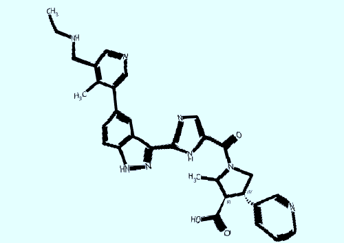 CCNCc1cncc(-c2ccc3[nH]nc(-c4ncc(C(=O)N5C[C@H](c6cccnc6)[C@@H](C(=O)O)C5C)[nH]4)c3c2)c1C